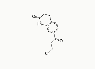 O=C1CCc2ccc(C(=O)CCCl)cc2N1